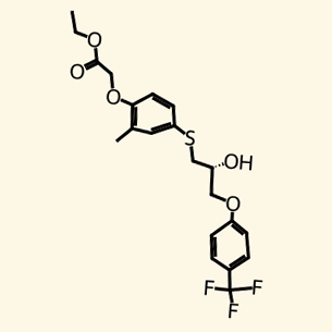 CCOC(=O)COc1ccc(SC[C@H](O)COc2ccc(C(F)(F)F)cc2)cc1C